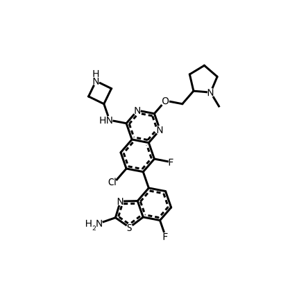 CN1CCCC1COc1nc(NC2CNC2)c2cc(Cl)c(-c3ccc(F)c4sc(N)nc34)c(F)c2n1